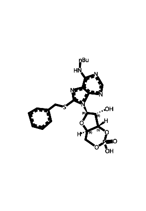 CCCCNc1ncnc2c1nc(SCc1ccccc1)n2[C@@H]1O[C@@H]2COP(=O)(O)O[C@H]2[C@H]1O